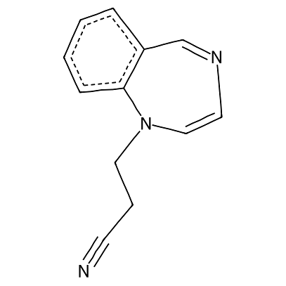 N#CCCN1C=CN=Cc2ccccc21